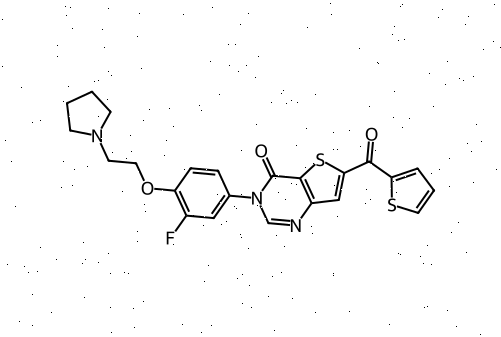 O=C(c1cccs1)c1cc2ncn(-c3ccc(OCCN4CCCC4)c(F)c3)c(=O)c2s1